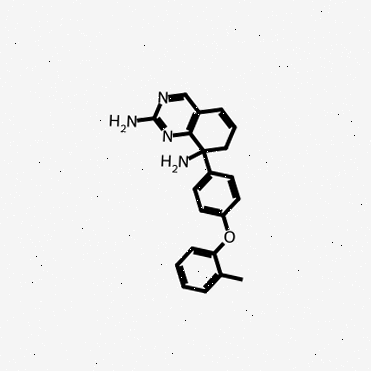 Cc1ccccc1Oc1ccc(C2(N)CC=Cc3cnc(N)nc32)cc1